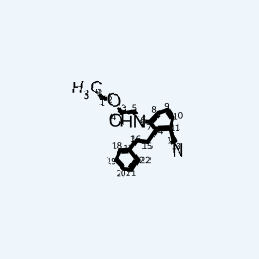 CCOC(=O)CNc1cccc(C#N)c1CCc1ccccc1